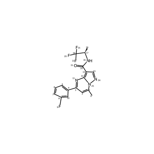 Cc1cc(-c2cccc(F)c2)nc2c(C(=O)N[C@H](C)C(F)(F)F)cnn12